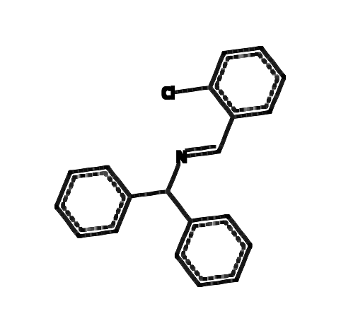 Clc1ccccc1/C=N/C(c1ccccc1)c1ccccc1